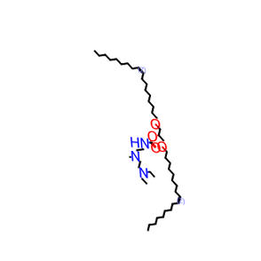 CCCCCCCC/C=C\CCCCCCCCOCC(COCCCCCCCC/C=C\CCCCCCCC)OC(=O)NCCN(C)CCN(CC)CC